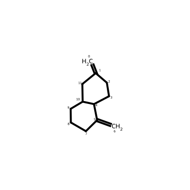 C=C1CCC2C(=C)CCCC2C1